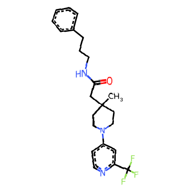 CC1(CC(=O)NCCCc2ccccc2)CCN(c2ccnc(C(F)(F)F)c2)CC1